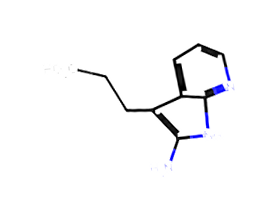 Nc1[nH]c2ncccc2c1CCC(=O)O